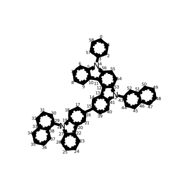 c1ccc(-n2c3ccccc3c3c4c5cc(-c6ccc7c(c6)c6ccccc6n7-c6cccc7ccccc67)ccc5n(-c5ccc6ccccc6c5)c4ccc32)cc1